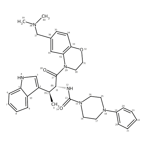 C[C@@H](c1c[nH]c2ccccc12)[C@@H](NC(=O)N1CCN(c2ccccc2)CC1)C(=O)N1CCOc2ccc(CN(C)C)cc21